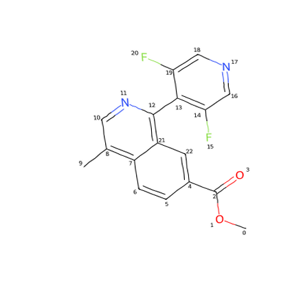 COC(=O)c1ccc2c(C)cnc(-c3c(F)cncc3F)c2c1